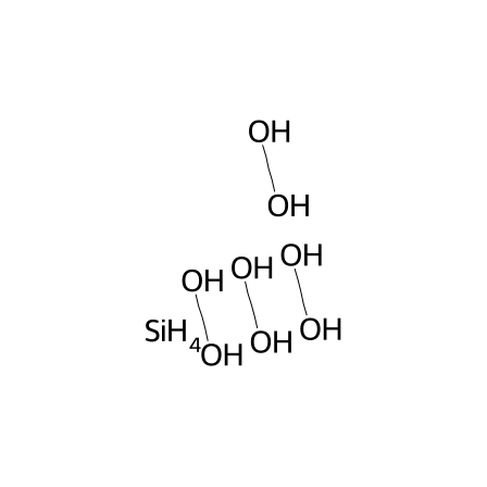 OO.OO.OO.OO.[SiH4]